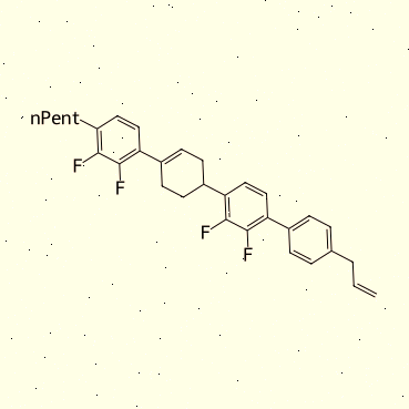 C=CCc1ccc(-c2ccc(C3CC=C(c4ccc(CCCCC)c(F)c4F)CC3)c(F)c2F)cc1